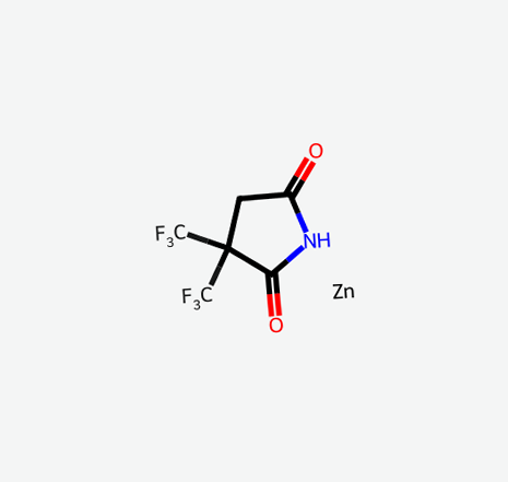 O=C1CC(C(F)(F)F)(C(F)(F)F)C(=O)N1.[Zn]